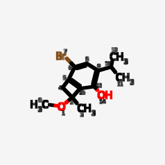 COC1(C)Cc2c(Br)cc(C(C)C)c(O)c21